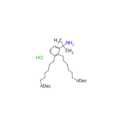 CCCCCCCCCCCCCCCCc1cccc(C(C)(C)N)c1CCCCCCCCCCCCCCCC.Cl